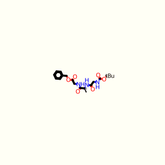 C[C@H](NC(=O)CNC(=O)OC(C)(C)C)C(=O)NCC(=O)OCc1ccccc1